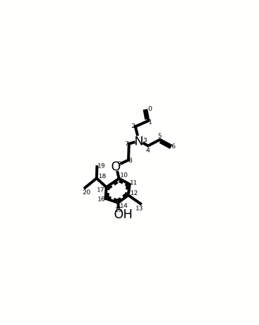 C=CCN(CC=C)CCOc1cc(C)c(O)cc1C(C)C